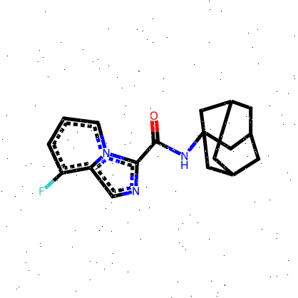 O=C(NC12CC3CC(CC(C3)C1)C2)c1ncc2c(F)cccn12